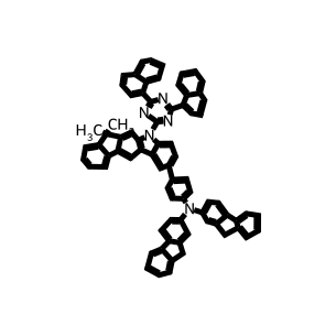 CC1(C)c2ccccc2-c2cc3c4cc(-c5ccc(N(c6ccc7c(c6)Cc6ccccc6-7)c6ccc7c(c6)Cc6ccccc6-7)cc5)ccc4n(-c4nc(-c5cccc6ccccc56)nc(-c5cccc6ccccc56)n4)c3cc21